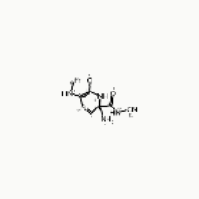 CC(C)NC1=C(Cl)NC(N)(C(=O)NC#N)C=N1